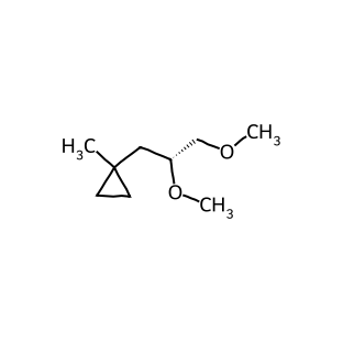 COC[C@@H](CC1(C)CC1)OC